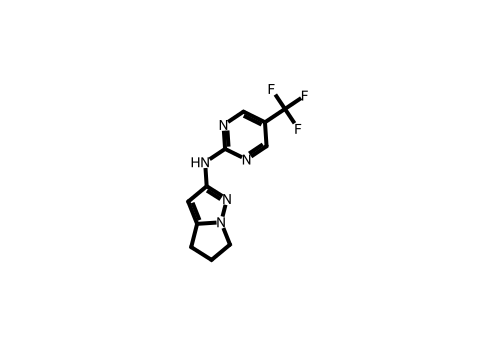 FC(F)(F)c1cnc(Nc2cc3n(n2)CCC3)nc1